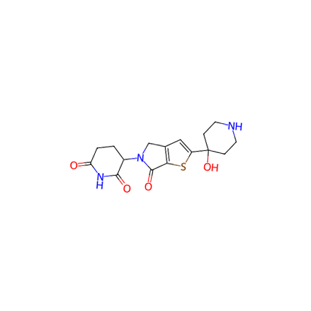 O=C1CCC(N2Cc3cc(C4(O)CCNCC4)sc3C2=O)C(=O)N1